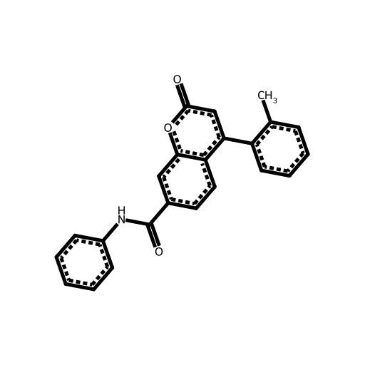 Cc1ccccc1-c1cc(=O)oc2cc(C(=O)Nc3ccccc3)ccc12